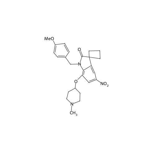 COc1ccc(CN2C(=O)C3(CCC3)c3cc([N+](=O)[O-])cc(OC4CCN(C)CC4)c32)cc1